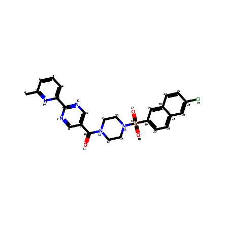 Cc1cccc(-c2ncc(C(=O)N3CCN(S(=O)(=O)c4ccc5cc(Cl)ccc5c4)CC3)cn2)n1